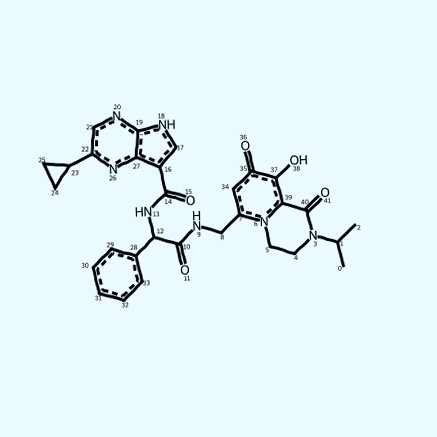 CC(C)N1CCn2c(CNC(=O)C(NC(=O)c3c[nH]c4ncc(C5CC5)nc34)c3ccccc3)cc(=O)c(O)c2C1=O